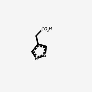 O=C(O)Cc1cnsc1